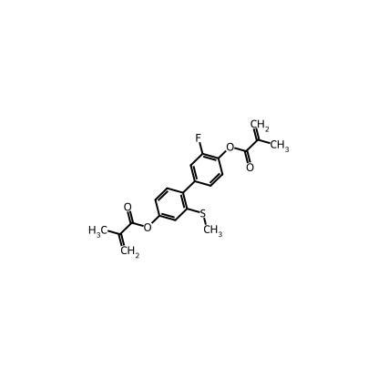 C=C(C)C(=O)Oc1ccc(-c2ccc(OC(=O)C(=C)C)c(F)c2)c(SC)c1